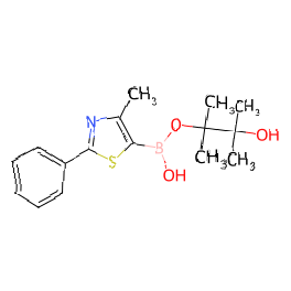 Cc1nc(-c2ccccc2)sc1B(O)OC(C)(C)C(C)(C)O